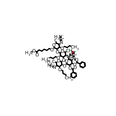 CCCCOC1[C@H](N=[N+]=[N-])C(C)O[C@H](OC2[C@H](N=[N+]=[N-])C(C)O[C@H](O[C@@H]3C(OCCCC)[C@H](N=[N+]=[N-])C(C)O[C@@H]3OCCCCCC(=O)OC)[C@@H]2OCCCC)[C@@H]1O[C@H]1OC(C)[C@@H](N=[N+]=[N-])C(OC(=O)c2ccccc2)[C@H]1OC(=O)c1ccccc1